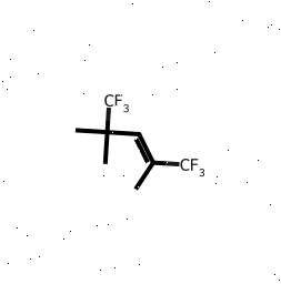 C/C(=C\C(C)(C)C(F)(F)F)C(F)(F)F